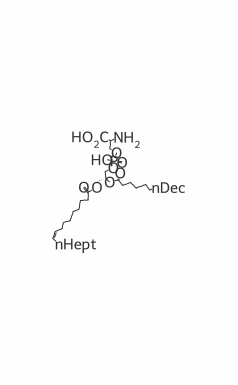 CCCCCCC/C=C\CCCCCCCC(=O)OC[C@H](COP(=O)(O)OC[C@H](N)C(=O)O)OC(=O)CCCCCCCCCCCCCCC